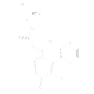 COC(=O)CNC(=O)c1sc2nc(N)c(C#N)c(-c3ccccc3)c2c1N